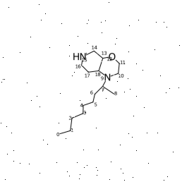 CCCCCCCC(C)N1CCOC2CNCCC21